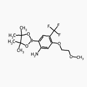 COCCOc1cc(N)c(B2OC(C)(C)C(C)(C)O2)cc1C(F)(F)F